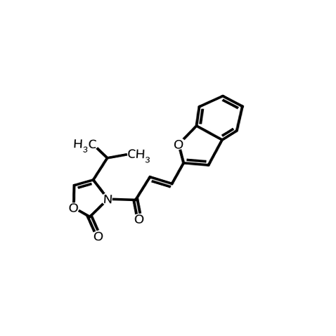 CC(C)c1coc(=O)n1C(=O)C=Cc1cc2ccccc2o1